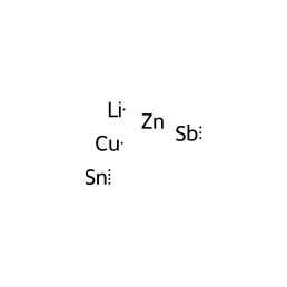 [Cu].[Li].[Sb].[Sn].[Zn]